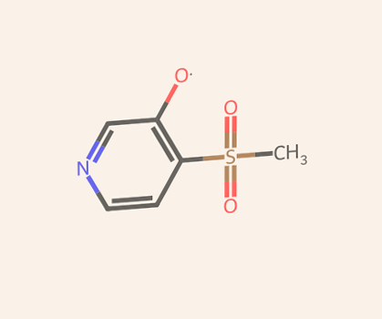 CS(=O)(=O)c1ccncc1[O]